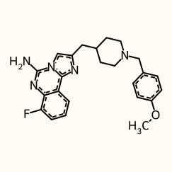 COc1ccc(CN2CCC(Cc3cn4c(N)nc5c(F)cccc5c4n3)CC2)cc1